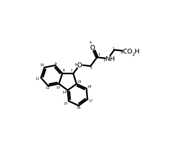 O=C(O)CNC(=O)COC1c2ccccc2-c2ccccc21